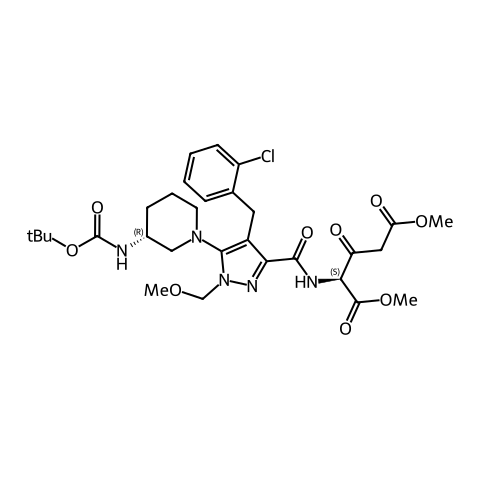 COCn1nc(C(=O)N[C@@H](C(=O)CC(=O)OC)C(=O)OC)c(Cc2ccccc2Cl)c1N1CCC[C@@H](NC(=O)OC(C)(C)C)C1